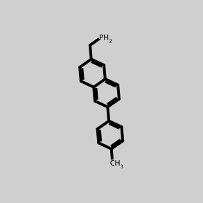 Cc1ccc(-c2ccc3cc(CP)ccc3c2)cc1